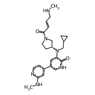 CNC/C=C/C(=O)N1CC[C@H](N(CC2CC2)c2cc(-c3ccnc(NC)c3)c[nH]c2=O)C1